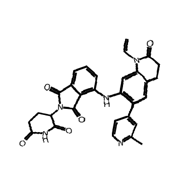 C=CN1C(=O)CCc2cc(-c3ccnc(C)c3)c(Nc3cccc4c3C(=O)N(C3CCC(=O)NC3=O)C4=O)cc21